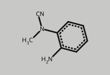 CN(C#N)c1ccccc1N